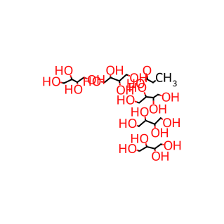 CCC(=O)O.OCC(O)C(O)CO.OCC(O)C(O)CO.OCC(O)C(O)CO.OCC(O)C(O)CO.OCC(O)C(O)CO